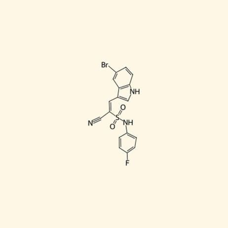 N#CC(=Cc1c[nH]c2ccc(Br)cc12)S(=O)(=O)Nc1ccc(F)cc1